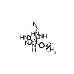 C[S+]([O-])c1ccc(C2Nc3cnc4[nH]ccc4c3N2/C(C=N)=C/NCCC#N)cc1